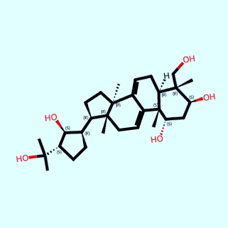 CC(C)(O)[C@H]1CC[C@H]([C@H]2CC[C@@]3(C)C4=CC[C@H]5[C@](C)(CO)[C@@H](O)C[C@H](O)[C@]5(C)C4=CC[C@]23C)[C@@H]1O